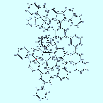 c1ccc(-c2ccc(-c3nc(-c4ccccc4)nc(-c4cccc(-n5c6cc7c(cc6c6c(-c8cccc(-c9cc(-c%10ccccc%10)cc(-n%10c%11cc%12c(cc%11c%11ccc%13ccccc%13c%11%10)Sc%10ccccc%10C%12%10c%11ccccc%11-c%11ccccc%11%10)n9)c8)cc8ccccc8c65)Sc5ccccc5C75c6ccccc6-c6ccccc65)c4)n3)cc2)cc1